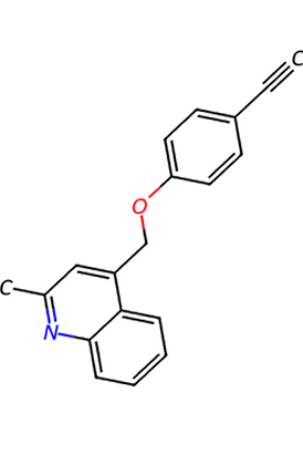 C#Cc1ccc(OCc2cc(C)nc3ccccc23)cc1